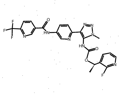 C[C@@H](OC(=O)Nc1c(-c2ccc(NC(=O)c3ccc(C(F)(F)F)nc3)cn2)nnn1C)c1cccnc1F